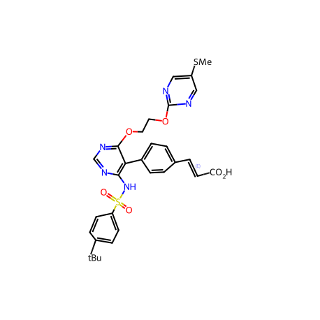 CSc1cnc(OCCOc2ncnc(NS(=O)(=O)c3ccc(C(C)(C)C)cc3)c2-c2ccc(/C=C/C(=O)O)cc2)nc1